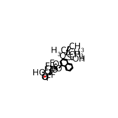 CCC(C)(C)C(=O)S(C)(CO)c1ccc(OS(=O)(=O)C(F)(F)C(F)(F)C(F)(F)S(=O)(=O)O)c2ccccc12